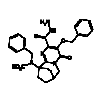 NNC(=O)c1nc2n(c(=O)c1OCc1ccccc1)CC1CCC2(N(Cc2ccccc2)C(=O)O)CC1